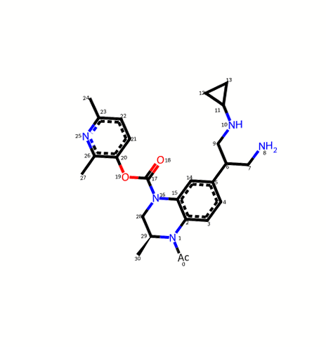 CC(=O)N1c2ccc(C(CN)CNC3CC3)cc2N(C(=O)Oc2ccc(C)nc2C)C[C@@H]1C